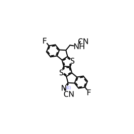 N#C/N=C1\c2cc(F)ccc2-c2c1sc1c3c(sc21)C(CNC#N)c1cc(F)ccc1-3